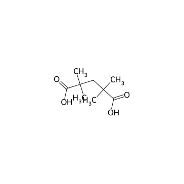 CC(C)(CC(C)(C)C(=O)O)C(=O)O